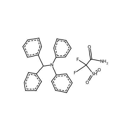 NC(=O)C(F)(F)[SH](=O)=O.c1ccc(C(c2ccccc2)N(c2ccccc2)c2ccccc2)cc1